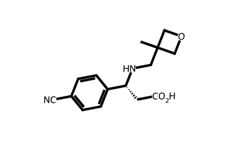 CC1(CN[C@H](CC(=O)O)c2ccc(C#N)cc2)COC1